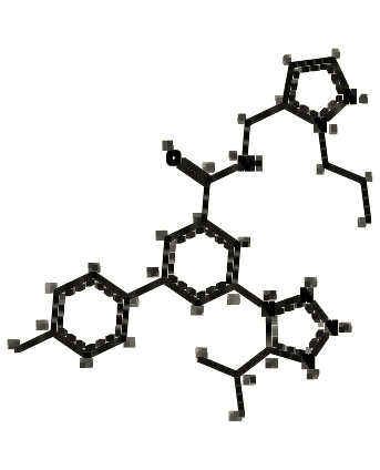 CCCn1nccc1CNC(=O)c1cc(-c2ccc(C)cc2)cc(-n2nnnc2C(C)C)c1